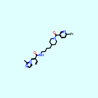 C=C/C(=C\n1ccnc1C)C(=O)NCCCCC1CCN(C(=O)c2ccc(C(C)C)nc2)CC1